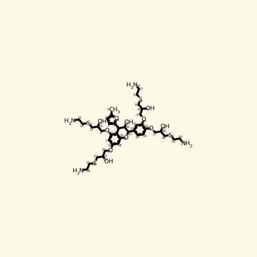 Cc1ccc(C2c3c(OCC(O)CSCCN)cc(OCC(O)CSCCN)cc3OC(c3ccc(OCC(O)CSCCN)c(OCC(O)CSCCN)c3)C2O)o1